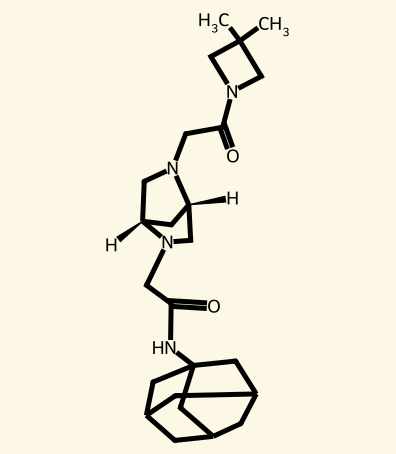 CC1(C)CN(C(=O)CN2C[C@@H]3C[C@H]2CN3CC(=O)NC23CC4CC(CC(C4)C2)C3)C1